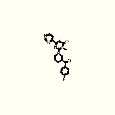 Cn1c(N2CCCC(C(=O)c3ccc(F)cc3)C2)nc(-c2ccncn2)cc1=O